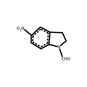 O=CN1CCc2cc([N+](=O)[O-])ccc21